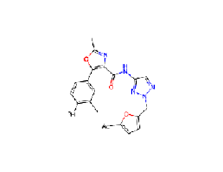 [3H]c1ccc(-c2oc(C)nc2C(=O)Nc2cnn(Cc3ccc(C(C)=O)o3)n2)cc1C